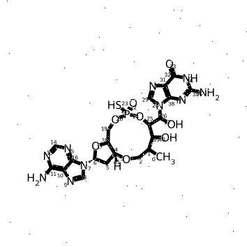 CC1CO[C@@H]2C[C@H](n3cnc4c(N)ncnc43)OC2COP(=O)(S)OC(C(O)n2cnc3c(=O)[nH]c(N)nc32)C1O